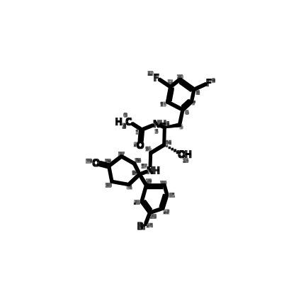 CC(=O)N[C@@H](Cc1cc(F)cc(F)c1)[C@H](O)CNC1(c2cccc(Br)c2)CCC(=O)CC1